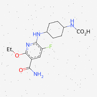 CCOc1nc(NC2CCC(NC(=O)O)CC2)c(F)cc1C(N)=O